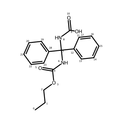 CCCOC(=O)NC(NC(=O)O)(c1ccccc1)c1ccccc1